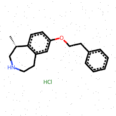 C[C@H]1CNCCc2cc(OCCc3ccccc3)ccc21.Cl